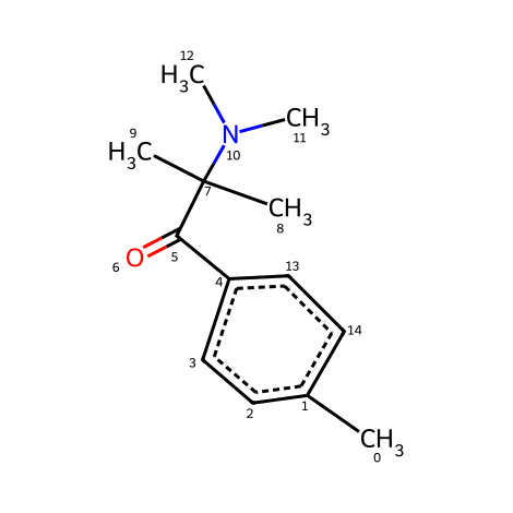 Cc1ccc(C(=O)C(C)(C)N(C)C)cc1